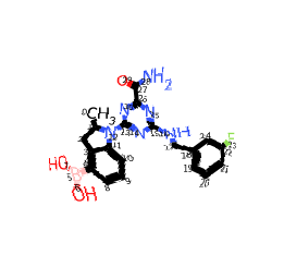 CC1Cc2c(B(O)O)cccc2N1c1nc(NCc2cccc(F)c2)nc(C(N)=O)n1